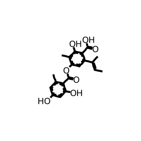 C/C=C(\C)c1cc(OC(=O)c2c(C)cc(O)cc2O)c(C)c(O)c1C(=O)O